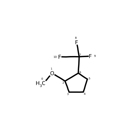 COC1CCCC1C(F)(F)F